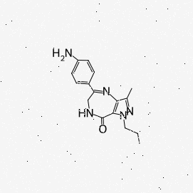 CCCn1nc(C)c2c1C(=O)NCC(c1ccc(N)cc1)=N2